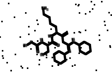 C=C(C/C(=N\C1CCCCC1)NC1CCCCC1)C(CCCCN)NC(=O)C(CC(C)C)NC(=O)OC(C)C